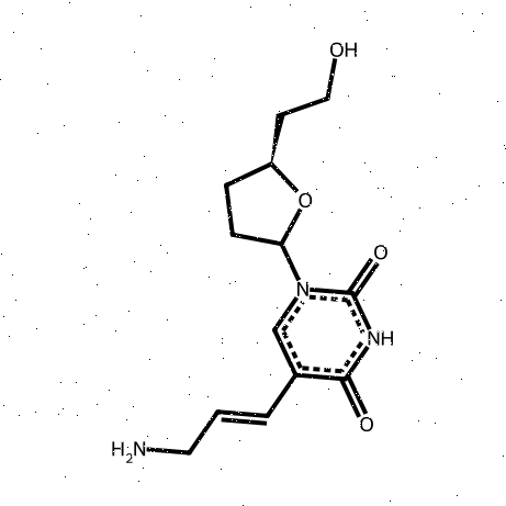 NC/C=C/c1cn(C2CC[C@@H](CCO)O2)c(=O)[nH]c1=O